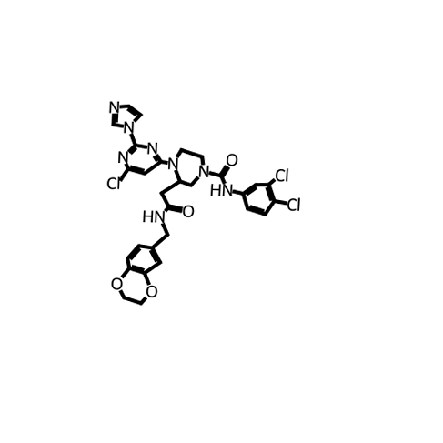 O=C(CC1CN(C(=O)Nc2ccc(Cl)c(Cl)c2)CCN1c1cc(Cl)nc(-n2ccnc2)n1)NCc1ccc2c(c1)OCCO2